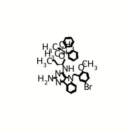 CCC[C@@H](CO[Si](c1ccccc1)(c1ccccc1)C(C)(C)C)Nc1nc(N)nc2c3ccccc3n(Cc3cc(Br)ccc3OC)c12